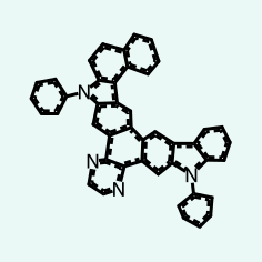 c1ccc(-n2c3ccccc3c3cc4c5cc6c7c8ccccc8ccc7n(-c7ccccc7)c6cc5c5nccnc5c4cc32)cc1